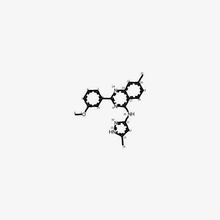 COc1cccc(-c2nc(Nc3cc(C)[nH]n3)c3ccc(C)cc3n2)c1